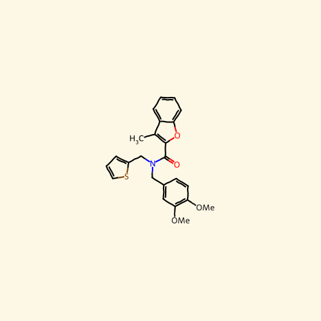 COc1ccc(CN(Cc2cccs2)C(=O)c2oc3ccccc3c2C)cc1OC